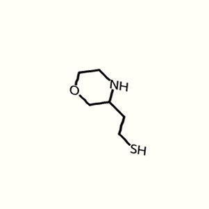 SCCC1COCCN1